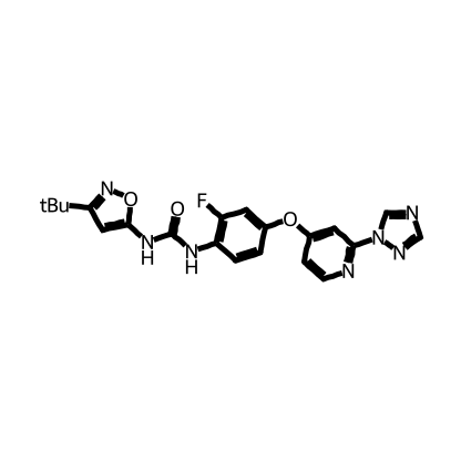 CC(C)(C)c1cc(NC(=O)Nc2ccc(Oc3ccnc(-n4cncn4)c3)cc2F)on1